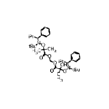 CC(C)C(c1ccccc1)N(OC(C)(C)C(=O)OCOC(=O)C(C)(C)ON(C(c1ccccc1)C(C)C)C(C)(C)C)C(C)(C)C